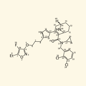 CCc1onc(OCCCc2ncc(C3=C(C(=O)N(Cc4cccc(Cl)c4Cl)C4CC4)C4CCC[C@@H](C3)N4)s2)c1F